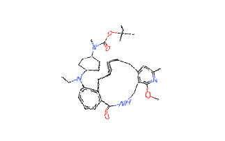 CCN(c1cccc2c1C/C=C/CCc1cc(C)nc(OC)c1CNC2=O)C1CCC(N(C)C(=O)OC(C)(C)C)CC1